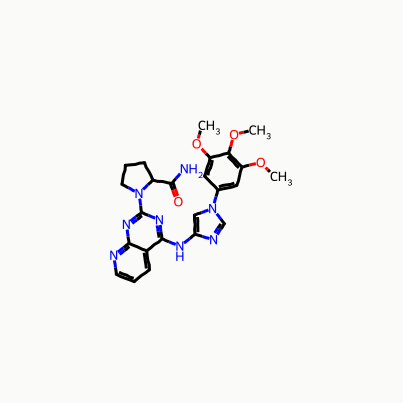 COc1cc(-n2cnc(Nc3nc(N4CCCC4C(N)=O)nc4ncccc34)c2)cc(OC)c1OC